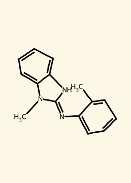 Cc1ccccc1/N=c1\[nH]c2ccccc2n1C